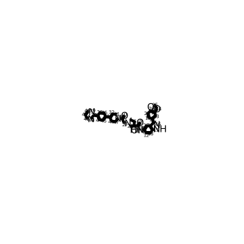 O=C(CN1CC[C@@](O)(C(=O)Nc2ccc3[nH]nc(-c4ccc5c(c4)OCO5)c3c2)C1)N1CC=C(c2ccc(-c3ncccn3)cc2)CC1